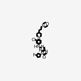 O=c1cnc2cnc(Nc3ccc(N4CCC(CCCN5CCOCC5)CC4)c(Cl)c3)nc2n1C1CCC(F)C1